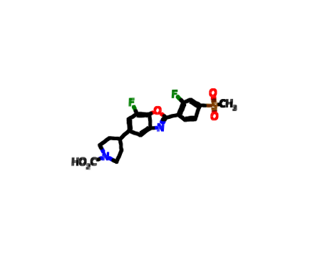 CS(=O)(=O)c1ccc(-c2nc3cc(C4CCN(C(=O)O)CC4)cc(F)c3o2)c(F)c1